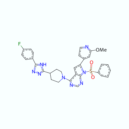 COc1cc(-c2cc3c(N4CCC(c5nnc(-c6ccc(F)cc6)[nH]5)CC4)ncnc3n2S(=O)(=O)c2ccccc2)ccn1